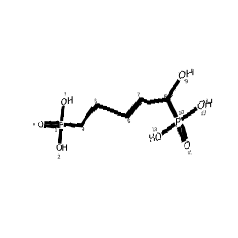 O=P(O)(O)CCCCC(O)P(=O)(O)O